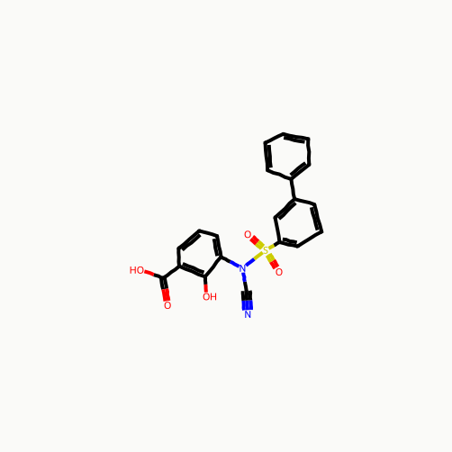 N#CN(c1cccc(C(=O)O)c1O)S(=O)(=O)c1cccc(-c2ccccc2)c1